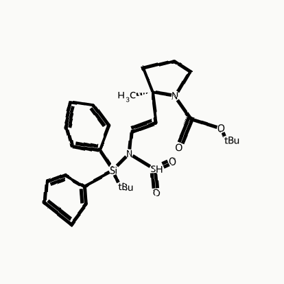 CC(C)(C)OC(=O)N1CCC[C@]1(C)/C=C/N([SH](=O)=O)[Si](c1ccccc1)(c1ccccc1)C(C)(C)C